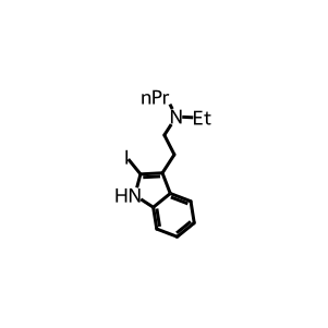 CCCN(CC)CCc1c(I)[nH]c2ccccc12